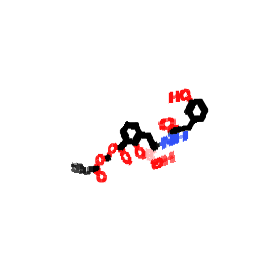 CC(C)(C)C(=O)OCOC(=O)c1cccc2c1OB(O)[C@@H](NC(=O)Cc1cccc(O)c1)C2